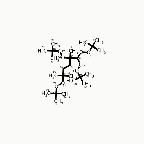 CC(C)(C)OOC(OOC(C)(C)C)C(C)(CCC(C)(C)OOC(C)(C)C)OOC(C)(C)C